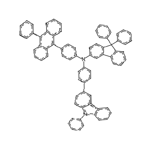 c1ccc(-c2c3ccccc3c(-c3ccc(N(c4ccc(-c5ccc6c(c5)c5ccccc5n6-c5ccccc5)cc4)c4ccc5c(c4)-c4ccccc4C5(c4ccccc4)c4ccccc4)cc3)c3ccccc23)cc1